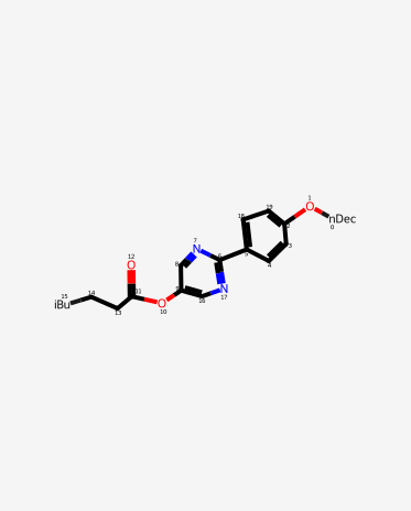 CCCCCCCCCCOc1ccc(-c2ncc(OC(=O)CCC(C)CC)cn2)cc1